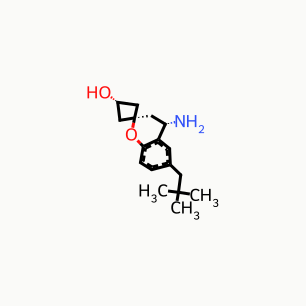 CC(C)(C)Cc1ccc2c(c1)[C@@H](N)C[C@]1(C[C@@H](O)C1)O2